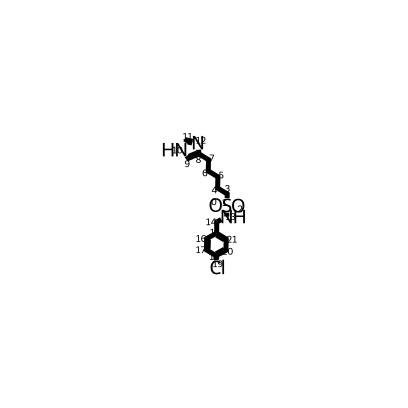 O=S(=O)(CCCCCc1c[nH]cn1)NCc1ccc(Cl)cc1